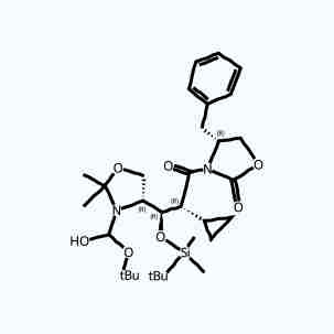 CC(C)(C)OC(O)N1[C@@H]([C@H](O[Si](C)(C)C(C)(C)C)[C@H](C(=O)N2C(=O)OC[C@H]2Cc2ccccc2)C2CC2)COC1(C)C